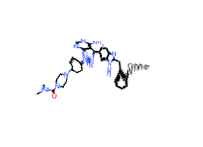 COc1ccccc1Cc1nc2ccc(-c3nn(C4CCC(N5CCN(C(=O)N(C)C)CC5)CC4)c4ncnc(N)c34)cc2[nH]1